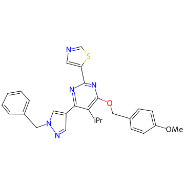 COc1ccc(COc2nc(-c3cncs3)nc(-c3cnn(Cc4ccccc4)c3)c2C(C)C)cc1